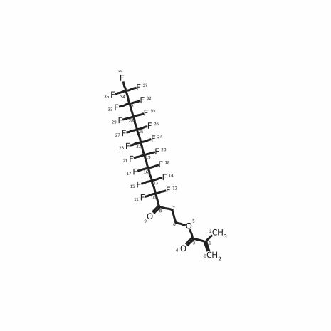 C=C(C)C(=O)OCCC(=O)C(F)(F)C(F)(F)C(F)(F)C(F)(F)C(F)(F)C(F)(F)C(F)(F)C(F)(F)C(F)(F)F